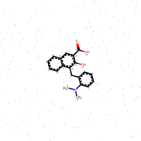 CN(C)c1ccccc1Cc1c(O)c(C(=O)O)cc2ccccc12